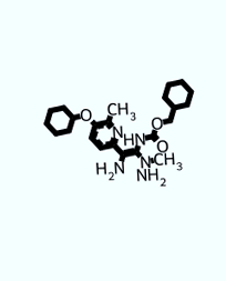 Cc1nc(/C(N)=C(\NC(=O)OCC2CCCCC2)N(C)N)ccc1OC1CCCCC1